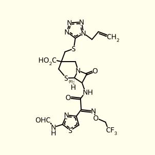 C=CCn1nnnc1SCC1(C(=O)O)CS[C@@H]2C(NC(=O)C(=NOCC(F)(F)F)c3csc(NC=O)n3)C(=O)N2C1